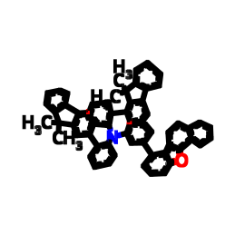 CC1(C)c2ccccc2-c2ccc(-c3ccccc3N(c3cccc(-c4cccc5oc6c7ccccc7ccc6c45)c3)c3ccccc3-c3cccc4c3C(C)(C)c3ccccc3-4)cc21